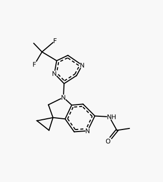 CC(=O)Nc1cc2c(cn1)C1(CC1)CN2c1cncc(C(C)(F)F)n1